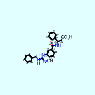 N#CN=C(NCc1ccccc1)Nc1cccc(C(=O)NC(CC(=O)O)c2ccccc2)c1